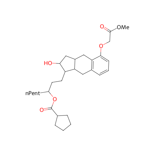 CCCCCC(CCC1C(O)CC2Cc3c(cccc3OCC(=O)OC)CC21)OC(=O)C1CCCC1